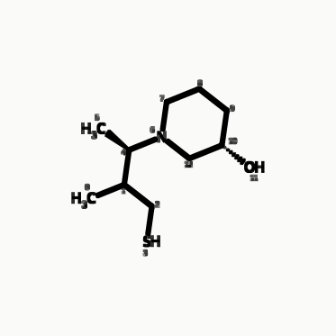 CC(CS)[C@@H](C)N1CCC[C@H](O)C1